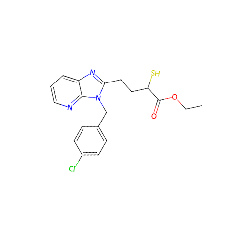 CCOC(=O)C(S)CCc1nc2cccnc2n1Cc1ccc(Cl)cc1